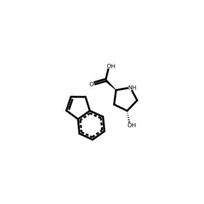 C1=Cc2ccccc2C1.O=C(O)[C@@H]1C[C@@H](O)CN1